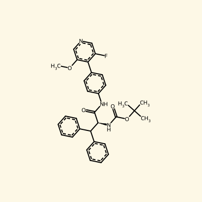 COc1cncc(F)c1-c1ccc(NC(=O)[C@@H](NC(=O)OC(C)(C)C)C(c2ccccc2)c2ccccc2)cc1